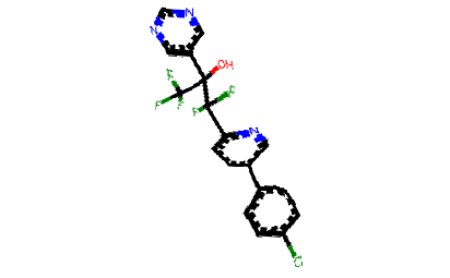 OC(c1cncnc1)(C(F)(F)F)C(F)(F)c1ccc(-c2ccc(Cl)cc2)cn1